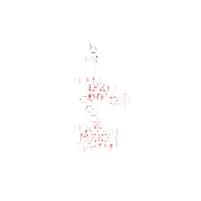 C[C@H]1O[C@@H](OC2C(O)[C@@H](NC(=O)CCCCCNC(=O)c3ccc(I)cc3)[C@@H](CO)O[C@H]2OC(=O)[C@]23CCC(C)(C)CC2C2=CCC4C5(C)CC[C@H](O[C@@H]6OC(C(=O)O)[C@@H](O)C(O[C@@H]7OC[C@@H](O)C(O)[C@@H]7O)C6O[C@@H]6OC(CO)[C@H](O)C(O)[C@@H]6O)[C@](C)(C=O)C5CC[C@@]4(C)[C@]2(C)C[C@H]3O)C(O)C(O)[C@H]1O[C@@H]1OC[C@@H](O)C(O)C1O